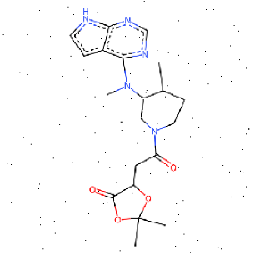 CC1CCN(C(=O)CC2OC(C)(C)OC2=O)CC1N(C)c1ncnc2[nH]ccc12